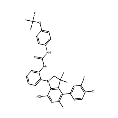 CC1(C)CN(c2ccccc2NC(=O)Nc2ccc(OC(F)(F)F)cc2)c2c(O)cc(F)c(-c3ccc(Cl)c(F)c3)c21